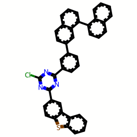 Clc1nc(-c2cccc(-c3ccc4cccc(-c5cccc6ccccc56)c4c3)c2)nc(-c2ccc3sc4ccccc4c3c2)n1